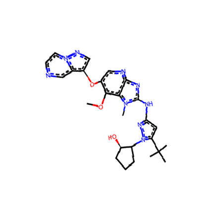 COc1c(Oc2cnn3ccncc23)cnc2nc(Nc3cc(C(C)(C)C)n(C4CCC[C@H]4O)n3)n(C)c12